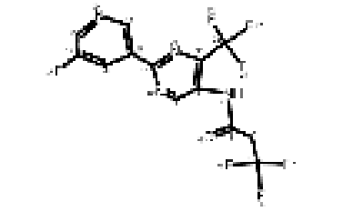 O=C(CC(F)(F)F)Nc1cnc(-c2cncc(F)c2)nc1C(F)(F)F